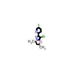 C[C@@H]1C[C@H](C)n2nc(-c3ccc(F)cn3)c(Br)c2O1